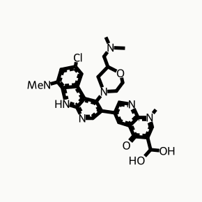 CNc1cc(Cl)cc2c1[nH]c1ncc(-c3cnc4c(c3)c(=O)c(C(O)O)cn4C)c(N3CCOC(CN(C)C)C3)c12